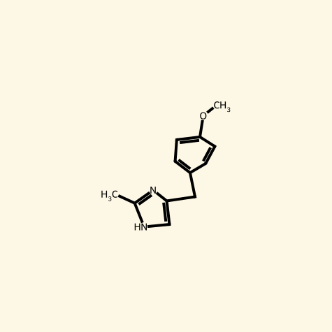 COc1ccc(Cc2c[nH]c(C)n2)cc1